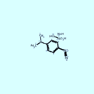 CN(C)c1ccc([N+]=[N-])cc1.O=S(=O)(O)O.[NaH]